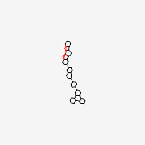 c1ccc2c(c1)oc1c2ccc2c3cc(-c4ccc5cc(-c6ccc(-c7ccc8c9ccccc9c9ccccc9c8c7)cc6)ccc5c4)ccc3oc21